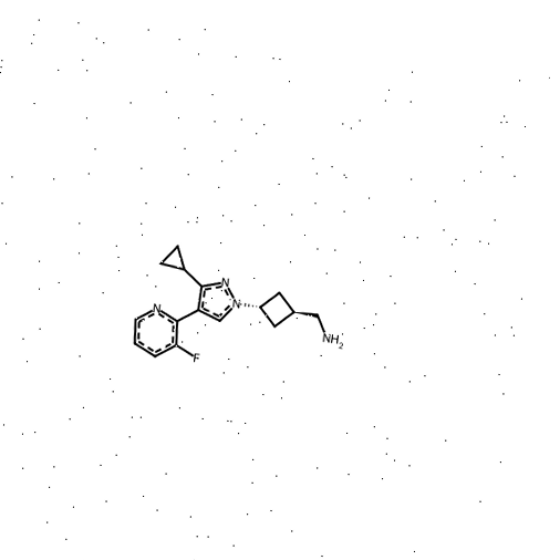 NC[C@H]1C[C@H](n2cc(-c3ncccc3F)c(C3CC3)n2)C1